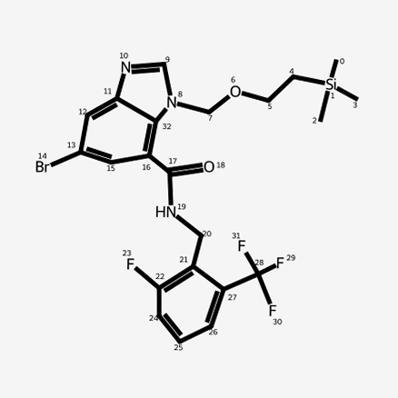 C[Si](C)(C)CCOCn1cnc2cc(Br)cc(C(=O)NCc3c(F)cccc3C(F)(F)F)c21